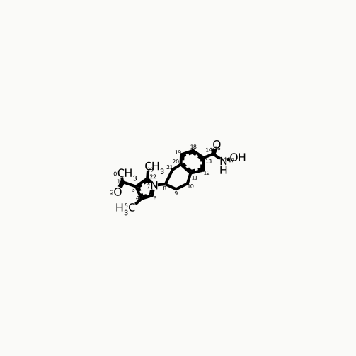 CC(=O)c1c(C)cn(C2CCc3cc(C(=O)NO)ccc3C2)c1C